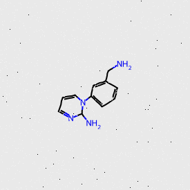 NCc1cccc(N2C=CC=NC2N)c1